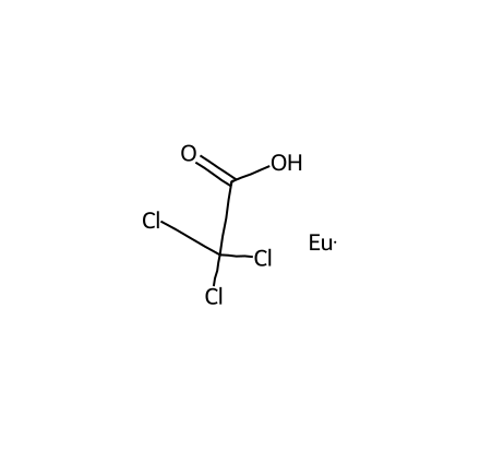 O=C(O)C(Cl)(Cl)Cl.[Eu]